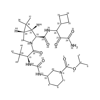 CC(C)OC(=O)N1CCCC(NC(=O)N[C@H](C(=O)N2C[C@H]3[C@@H]([C@H]2C(=O)NC(C(=O)C(N)=O)C2CCC2)C3(C)C)C(C)(C)C)C1